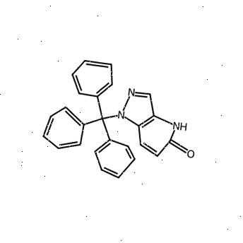 O=c1ccc2c(cnn2C(c2ccccc2)(c2ccccc2)c2ccccc2)[nH]1